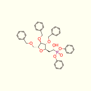 O=P(Oc1ccccc1)(Oc1ccccc1)[C@@H](O)C[C@H]1O[C@H](COCc2ccccc2)[C@@H](OCc2ccccc2)[C@@H]1OCc1ccccc1